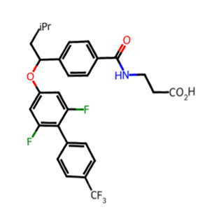 CC(C)CC(Oc1cc(F)c(-c2ccc(C(F)(F)F)cc2)c(F)c1)c1ccc(C(=O)NCCC(=O)O)cc1